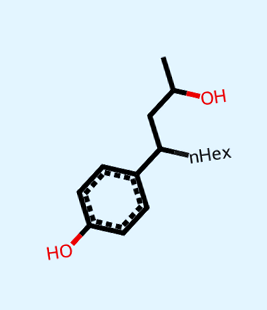 CCCCCCC(CC(C)O)c1ccc(O)cc1